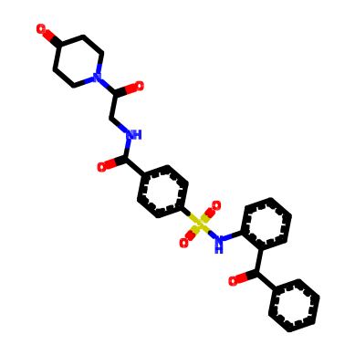 O=C1CCN(C(=O)CNC(=O)c2ccc(S(=O)(=O)Nc3ccccc3C(=O)c3ccccc3)cc2)CC1